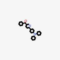 O=C(c1ccccc1)c1ccc(-c2ccc(N(c3ccccc3)c3ccccc3)cc2)nc1